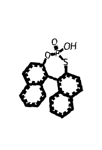 O=P1(O)Oc2ccc3ccccc3c2-c2c(ccc3ccccc23)S1